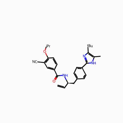 C=C[C@H](Cc1ccc(-c2nc(C(C)(C)C)c(C)[nH]2)cc1)NC(=O)c1ccc(OC(C)C)c(C#N)c1